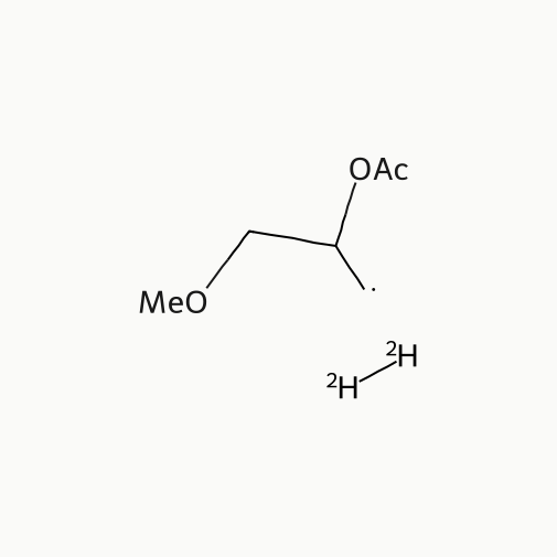 [2H][2H].[CH2]C(COC)OC(C)=O